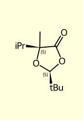 CC(C)[C@]1(C)O[C@H](C(C)(C)C)OC1=O